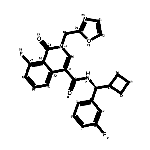 O=C(N[C@H](c1cccc(F)c1)C1CCC1)c1cn(Cc2ncco2)c(=O)c2c(F)cccc12